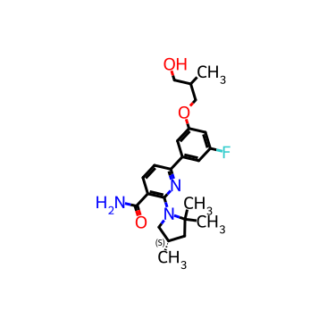 CC(CO)COc1cc(F)cc(-c2ccc(C(N)=O)c(N3C[C@@H](C)CC3(C)C)n2)c1